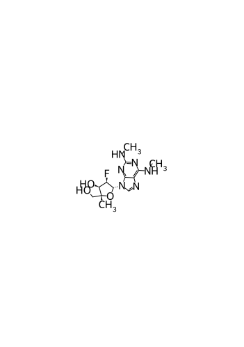 CNc1nc(NC)c2ncn([C@@H]3O[C@](C)(CO)[C@@H](O)[C@H]3F)c2n1